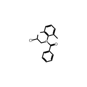 Cc1cccc(C)c1N(CC(C)Cl)C(=O)c1ccccc1